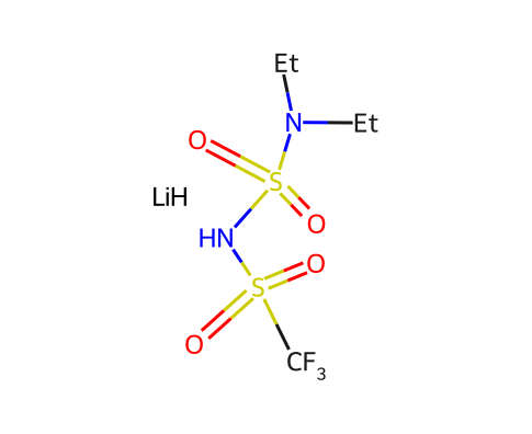 CCN(CC)S(=O)(=O)NS(=O)(=O)C(F)(F)F.[LiH]